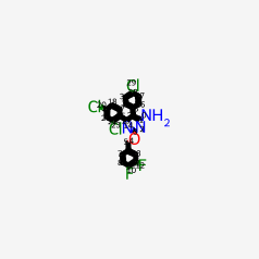 Nc1nc(OCc2ccc(F)c(F)c2)nc(-c2ccc(Cl)cc2Cl)c1-c1ccc(Cl)cc1